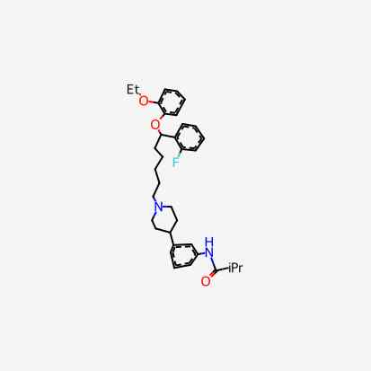 CCOc1ccccc1OC(CCCCCN1CCC(c2cccc(NC(=O)C(C)C)c2)CC1)c1ccccc1F